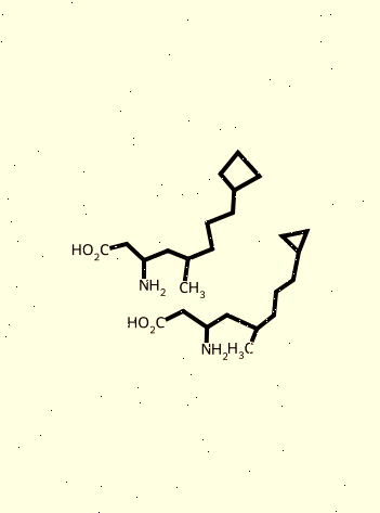 CC(CCCC1CC1)CC(N)CC(=O)O.CC(CCCC1CCC1)CC(N)CC(=O)O